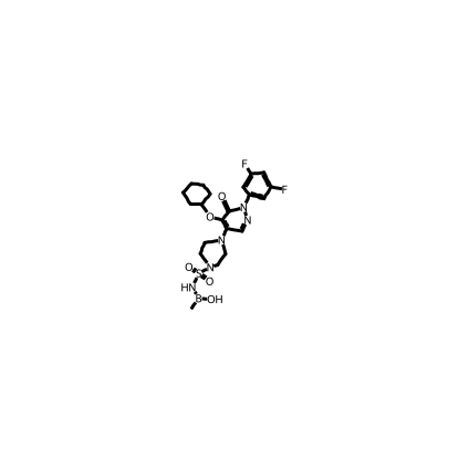 CB(O)NS(=O)(=O)N1CCN(c2cnn(-c3cc(F)cc(F)c3)c(=O)c2OC2CCCCC2)CC1